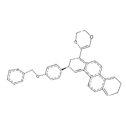 C1=C(C2=c3ccc4c5c(ccc4c3=C[C@@H](c3ccc(OCc4ccccc4)cc3)C2)=CCCC=5)OCCO1